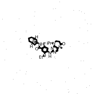 CCOc1cc(C(=O)NC2C[C@H]3CCC[C@@H](C2)N3C)c(F)cc1Nc1ncc2c(n1)N(C(C)C)CCC(=O)N2C